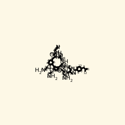 CCc1nc(-c2ccc(CC(C)C)cc2)ncc1C(=O)N[C@@H](CCN)C(=O)N(C)[C@@H]1C(=O)N[C@@H](C)C(=O)N[C@H](C(=O)NCC#N)Cc2ccc(OCCN)c(c2)-c2cc1ccc2OCCN